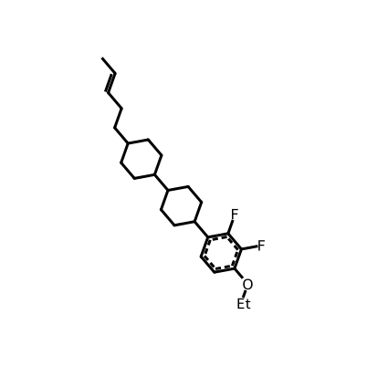 C/C=C/CCC1CCC(C2CCC(c3ccc(OCC)c(F)c3F)CC2)CC1